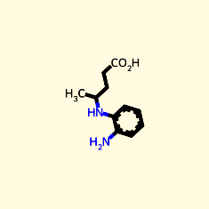 CC(CCC(=O)O)Nc1ccccc1N